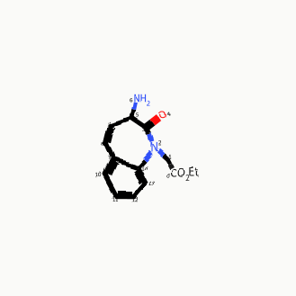 CCOC(=O)CN1C(=O)C(N)C=Cc2ccccc21